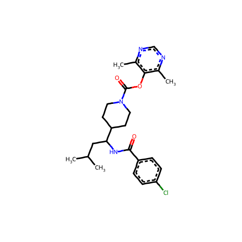 Cc1ncnc(C)c1OC(=O)N1CCC(C(CC(C)C)NC(=O)c2ccc(Cl)cc2)CC1